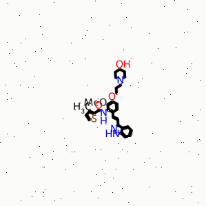 COc1c(OCCCN2CCC(O)CC2)ccc(C=Cc2n[nH]c3ccccc23)c1NC(=O)c1sccc1C